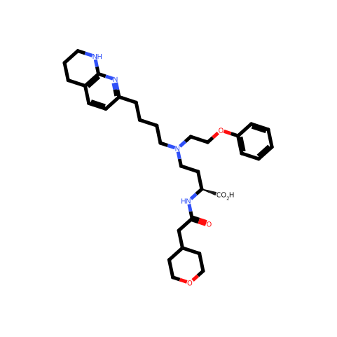 O=C(CC1CCOCC1)N[C@@H](CCN(CCCCc1ccc2c(n1)NCCC2)CCOc1ccccc1)C(=O)O